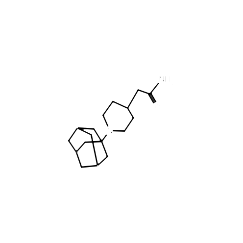 NC(=O)CC1CCN(C23CC4CC(CC(C4)C2)C3)CC1